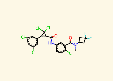 CN(C(=O)c1cc(NC(=O)C2C(c3cc(Cl)cc(Cl)c3)C2(Cl)Cl)ccc1Cl)C1CC(F)(F)C1